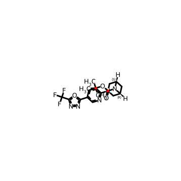 CC(C)(C)OC(=O)N1[C@@H]2C[C@H]1CN(c1ccc(-c3nnc(C(F)(F)F)o3)cn1)C2